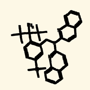 CC(C)(C)C(P)(c1ccc([Si](C)(C)C)cc1CP(c1ccc2ccccc2n1)c1ccc2ccccc2n1)C(C)(C)C